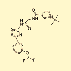 CC(C)(C)n1ccc(C(=O)NCC(=O)Nc2nc(-c3cccc(OC(F)F)n3)cs2)c1